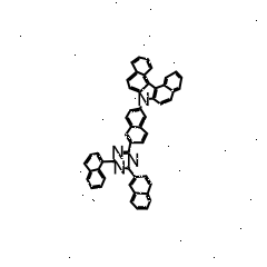 c1ccc2cc(-c3nc(-c4ccc5cc(-n6c7ccc8ccccc8c7c7c8ccccc8ccc76)ccc5c4)nc(-c4cccc5ccccc45)n3)ccc2c1